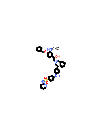 O=CNc1cc([C@@H](O)CN(CCc2ccc(Nc3ccc(S(=O)(=O)Nc4ccccn4)cc3)cc2)Cc2ccccc2)ccc1OCc1ccccc1